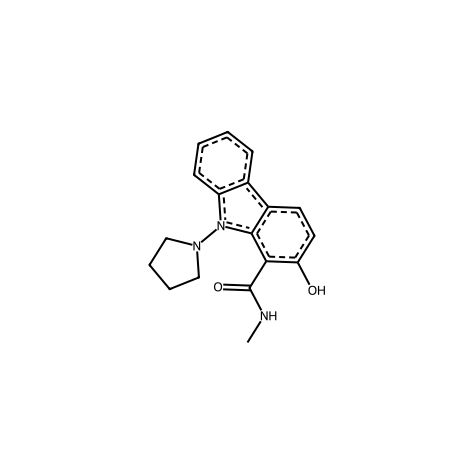 CNC(=O)c1c(O)ccc2c3ccccc3n(N3CCCC3)c12